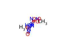 COc1nc(Nc2nccc(-c3ccc(OC4CCN(C(=O)C(C)O)C4)c(C#N)c3)n2)ccc1N1CCN(C2COC2)CC1